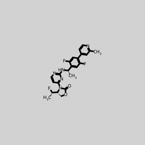 Cc1cc(-c2cc(F)c([C@H](C)Nc3nccc(N4C(=O)OC[C@@H]4[C@H](C)F)n3)cc2F)ccn1